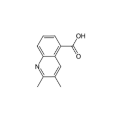 Cc1cc2c(C(=O)O)cccc2nc1C